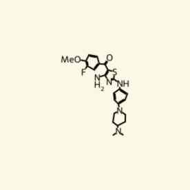 COc1ccc(C(=O)c2sc(Nc3ccc(N4CCC(N(C)C)CC4)cc3)nc2N)cc1F